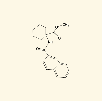 COC(=O)C1(NC(=O)c2ccc3ccccc3c2)CCCCC1